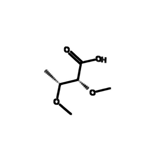 CO[C@H](C)[C@@H](OC)C(=O)O